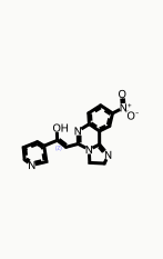 O=[N+]([O-])c1ccc2c(c1)C1=NCCN1C(/C=C(\O)c1cccnc1)=N2